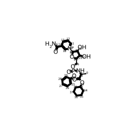 C[C@H](NP(=O)(OC[C@H]1O[C@@H]([n+]2cccc(C(N)=O)c2)[C@@H](O)C1O)Oc1ccccc1)C(=O)OC1CCCCC1